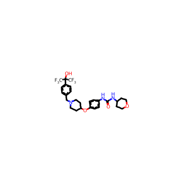 O=C(Nc1ccc(OC2CCN(Cc3ccc(C(O)(C(F)(F)F)C(F)(F)F)cc3)CC2)cc1)NC1CCOCC1